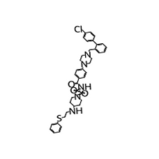 O=C(NS(=O)(=O)N1CCC(NCCSc2ccccc2)CC1)c1ccc(N2CCN(Cc3ccccc3-c3ccc(Cl)cc3)CC2)cc1